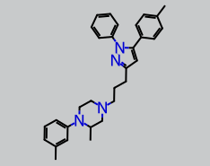 Cc1ccc(-c2cc(CCCN3CCN(c4cccc(C)c4)C(C)C3)nn2-c2ccccc2)cc1